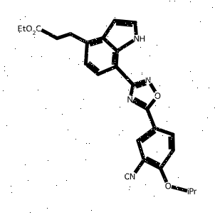 [C-]#[N+]c1cc(-c2nc(-c3ccc(CCC(=O)OCC)c4cc[nH]c34)no2)ccc1OC(C)C